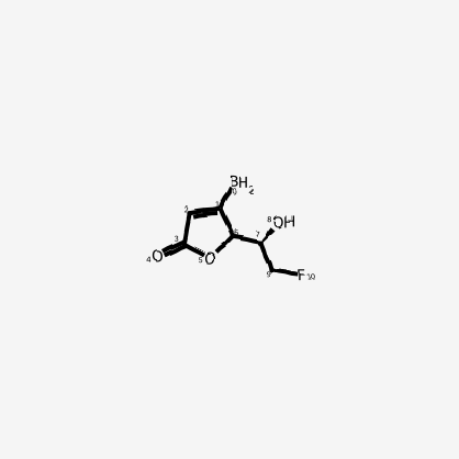 BC1=CC(=O)OC1[C@@H](O)CF